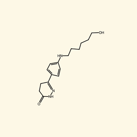 O=C1CCC(c2ccc(NCCCCCCO)cc2)=NN1